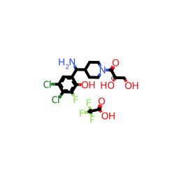 NC(c1cc(Cl)c(Cl)c(F)c1O)C1CCN(C(=O)[C@H](O)CO)CC1.O=C(O)C(F)(F)F